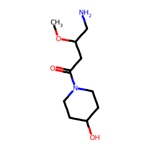 COC(CN)CC(=O)N1CCC(O)CC1